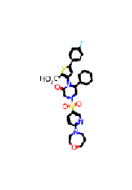 O=C(O)c1sc(-c2ccc(F)cc2)cc1N1C(=O)CN(S(=O)(=O)c2ccc(N3CCCOCC3)nc2)CC1C1CCCCC1